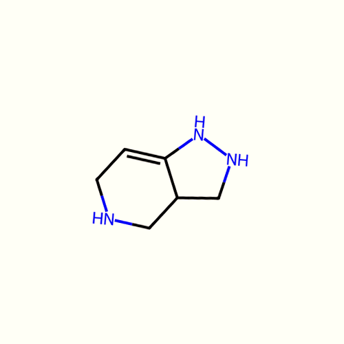 C1=C2NNCC2CNC1